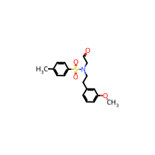 COc1cccc(CCN(CC=O)S(=O)(=O)c2ccc(C)cc2)c1